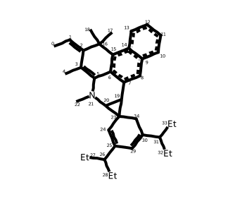 C/C=C1\C(C)=C2c3c(cc4ccccc4c3C1(C)C)C1C(N2C)C12C=C(C(CC)CC)C=C(C(CC)CC)C2